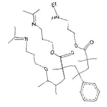 CCNCCCOC(=O)C(C)(C)CC(C)(CC(C)(CC(C)C(C)OCCCN=C(C)C)C(=O)OCCCN=C(C)C)c1ccccc1